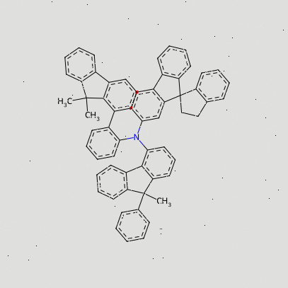 CC1(C)c2ccccc2-c2cccc(-c3ccccc3N(c3ccc4c(c3)C3(CCc5ccccc53)c3ccccc3-4)c3cccc4c3-c3ccccc3C4(C)c3ccccc3)c21